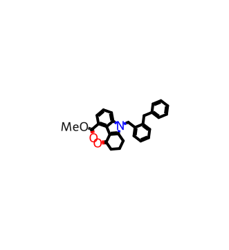 COC(=O)c1cccc2c1c1c(n2Cc2ccccc2Cc2ccccc2)CCCC1=O